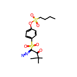 CCCCS(=O)(=O)Oc1ccc(S(=O)(=O)C(=[N+]=[N-])C(=O)C(C)(C)C)cc1